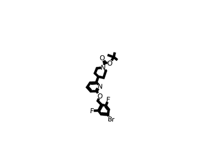 CC(C)(C)OC(=O)N1CCC(c2cccc(OCc3c(F)cc(Br)cc3F)n2)CC1